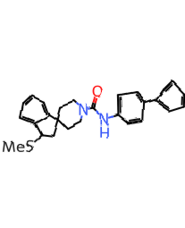 CSC1CC2(CCN(C(=O)Nc3ccc(-c4ccccc4)cc3)CC2)c2ccccc21